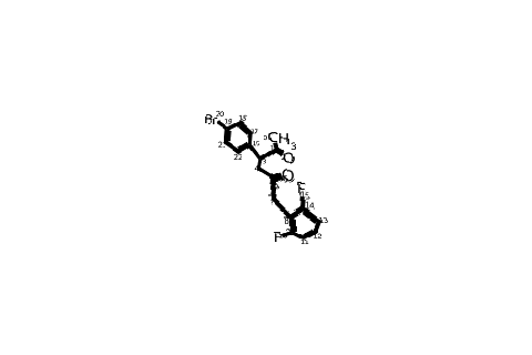 CC(=O)C(CC(=O)Cc1c(F)cccc1F)c1ccc(Br)cc1